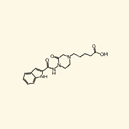 O=C(O)CCCCN1CCN(NC(=O)c2cc3ccccc3[nH]2)C(=O)C1